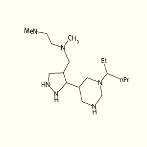 CCCC(CC)N1CNCC(C2NNCC2CN(C)CCNC)C1